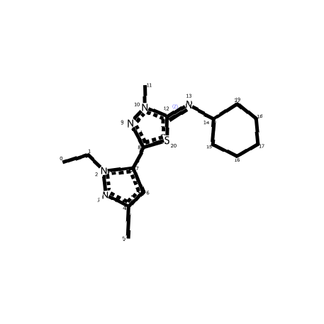 CCn1nc(C)cc1-c1nn(C)/c(=N/C2CCCCC2)s1